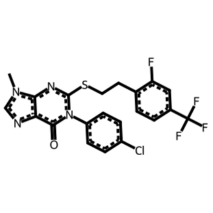 Cn1cnc2c(=O)n(-c3ccc(Cl)cc3)c(SCCc3ccc(C(F)(F)F)cc3F)nc21